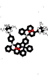 CC1(C)OB(c2ccc(N(c3ccc4c(c3)-c3cc(N(c5ccc(C6OC(C)(C)C(C)(C)O6)cc5)c5ccccc5-c5ccccc5)ccc3C4(c3ccccc3)c3ccccc3)c3ccccc3-c3ccccc3)cc2)OC1(C)C